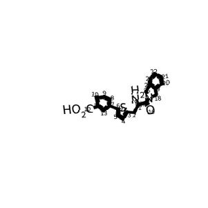 N[C@H](Cc1ccc(-c2cccc(C(=O)O)c2)s1)C(=O)N1Cc2ccccc2C1